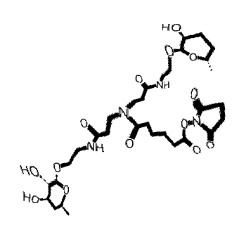 C[C@H]1C[C@@H](O)[C@H](O)[C@H](OCCNC(=O)CCN(CCC(=O)NCCO[C@@H]2O[C@@H](C)CC[C@@H]2O)C(=O)CCCCC(=O)ON2C(=O)CCC2=O)O1